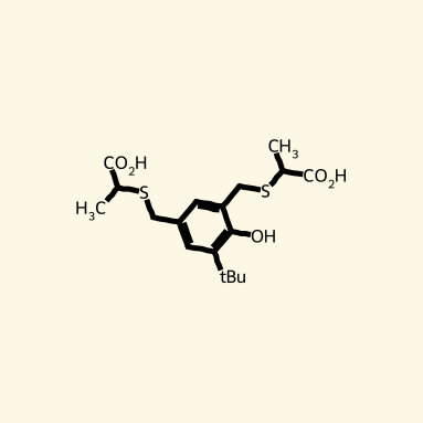 CC(SCc1cc(CSC(C)C(=O)O)c(O)c(C(C)(C)C)c1)C(=O)O